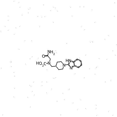 NC(=O)CN(CC1CCN(c2nc3ccccc3[nH]2)CC1)C(=O)O